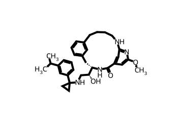 COc1cc2cc(n1)NCCCCc1cccc(c1)C[C@@H]([C@H](O)CNC1(c3cccc(C(C)C)c3)CC1)NC2=O